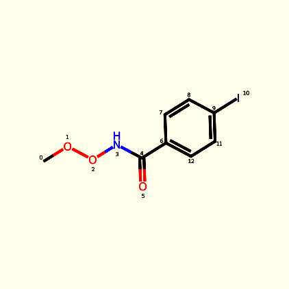 COONC(=O)c1ccc(I)cc1